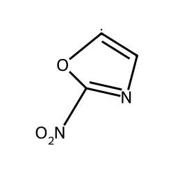 O=[N+]([O-])c1nc[c]o1